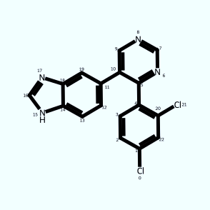 Clc1ccc(-c2n[c]ncc2-c2ccc3[nH]cnc3c2)c(Cl)c1